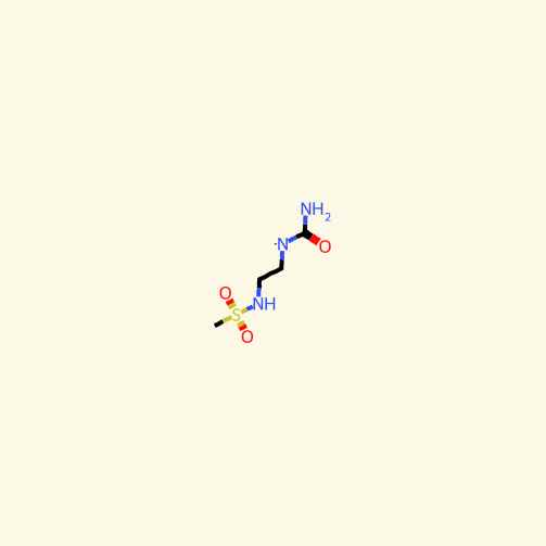 CS(=O)(=O)NCC[N]C(N)=O